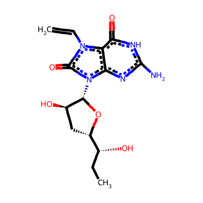 C=Cn1c(=O)n([C@@H]2O[C@H]([C@H](O)CC)C[C@H]2O)c2nc(N)[nH]c(=O)c21